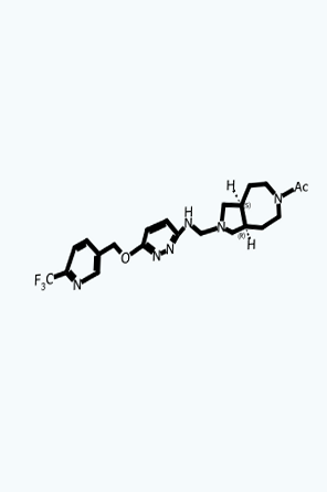 CC(=O)N1CC[C@@H]2CN(CNc3ccc(OCc4ccc(C(F)(F)F)nc4)nn3)C[C@@H]2CC1